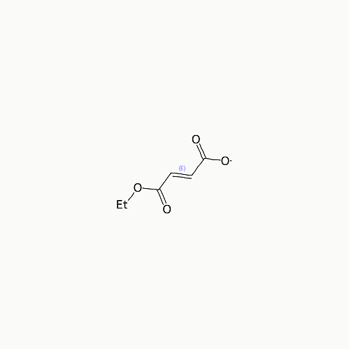 CCOC(=O)/C=C/C([O])=O